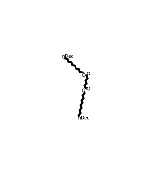 CCCCCCCCCCCCCCCCCCCCOC(=O)CCCCC(=O)OCCCCCCCCCCCCCCCCCCCC